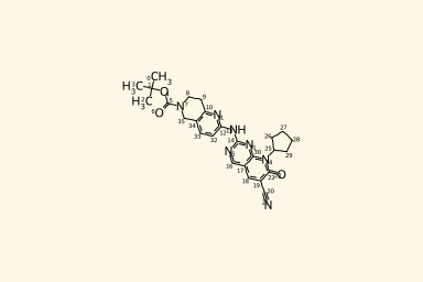 CC(C)(C)OC(=O)N1CCc2nc(Nc3ncc4cc(C#N)c(=O)n(C5CCCC5)c4n3)ccc2C1